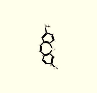 CSc1ccc2c(c1)C=Cc1ccc(C#N)cc1S2